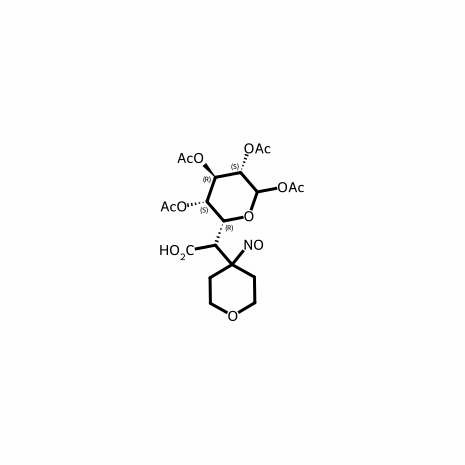 CC(=O)OC1O[C@H](C(C(=O)O)C2(N=O)CCOCC2)[C@H](OC(C)=O)[C@@H](OC(C)=O)[C@@H]1OC(C)=O